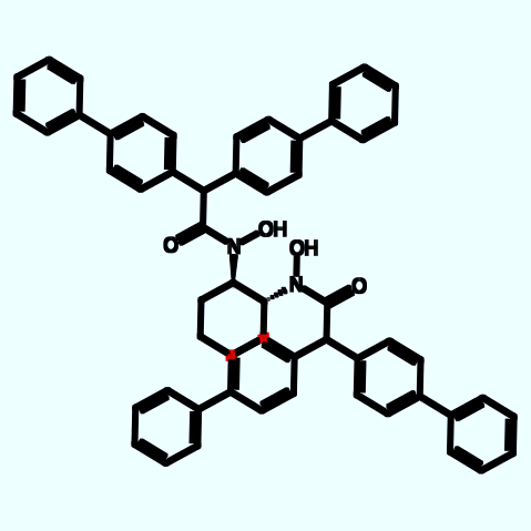 O=C(C(c1ccc(-c2ccccc2)cc1)c1ccc(-c2ccccc2)cc1)N(O)[C@@H]1CCCC[C@H]1N(O)C(=O)C(c1ccc(-c2ccccc2)cc1)c1ccc(-c2ccccc2)cc1